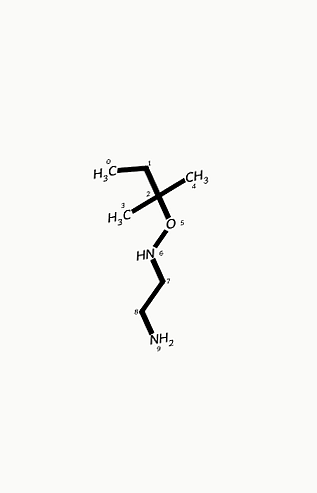 CCC(C)(C)ONCCN